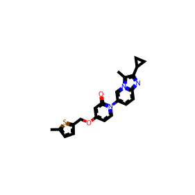 Cc1ccc(COc2ccn(-c3ccc4nc(C5CC5)c(C)n4c3)c(=O)c2)s1